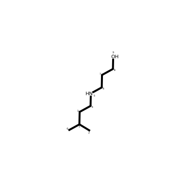 CC(C)CCNCCCO